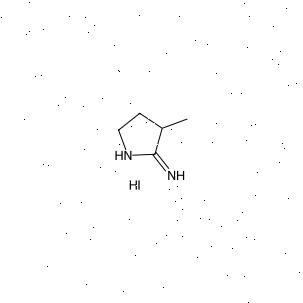 CC1CCNC1=N.I